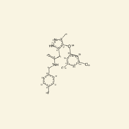 Cc1n[nH]c(CC(=O)NCc2ccc(F)cc2)c1Oc1cc(Cl)cc(Cl)c1